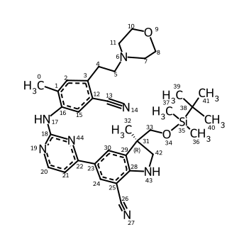 Cc1cc(CCN2CCOCC2)c(C#N)cc1Nc1nccc(-c2cc(C#N)c3c(c2)[C@@](C)(CO[Si](C)(C)C(C)(C)C)CN3)n1